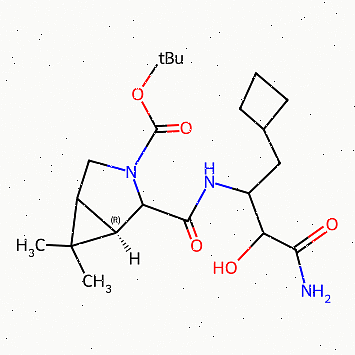 CC(C)(C)OC(=O)N1CC2[C@@H](C1C(=O)NC(CC1CCC1)C(O)C(N)=O)C2(C)C